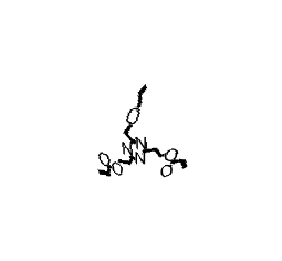 C=CCOCCc1nc(CCOC(=O)C=C)nc(CCOC(=O)C=C)n1